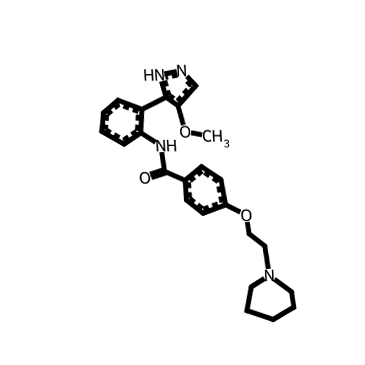 COc1cn[nH]c1-c1ccccc1NC(=O)c1ccc(OCCN2CCCCC2)cc1